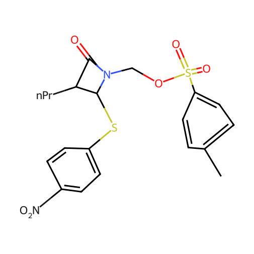 CCCC1C(=O)N(COS(=O)(=O)c2ccc(C)cc2)C1Sc1ccc([N+](=O)[O-])cc1